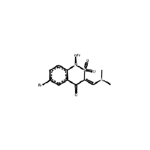 CCCN1c2ccc(Br)cc2C(=O)C(=CN(C)C)S1(=O)=O